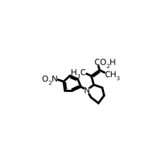 CC(C(=O)O)=C(C)C1CCCCN1c1ccc([N+](=O)[O-])cc1